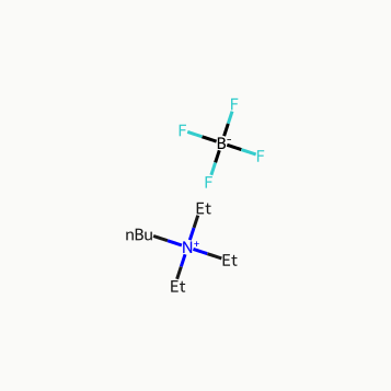 CCCC[N+](CC)(CC)CC.F[B-](F)(F)F